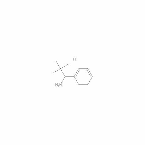 CC(C)(C)C(N)c1ccccc1.I